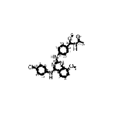 COc1cccc2c(Nc3ccc(Cl)cc3)nc(Nc3ccc(C(NC(C)=O)OC)cc3)nc12